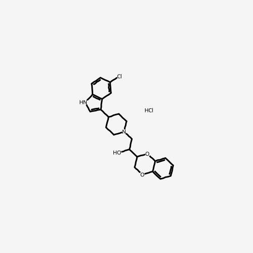 Cl.OC(CN1CCC(c2c[nH]c3ccc(Cl)cc23)CC1)C1COc2ccccc2O1